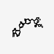 CS(=O)(=O)CC(Cc1ccc(-n2cc(-c3ccnc4[nH]cnc34)cn2)nc1)C(F)(F)F